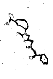 N=C(N)c1cccc(N2CC(CNCC(=O)c3ccccc3)OC2=O)c1